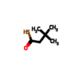 CC(C)(C)CC(=O)S